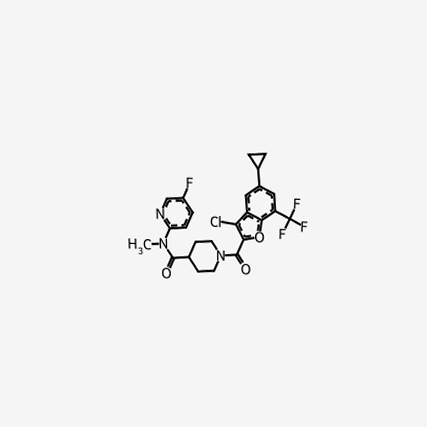 CN(C(=O)C1CCN(C(=O)c2oc3c(C(F)(F)F)cc(C4CC4)cc3c2Cl)CC1)c1ccc(F)cn1